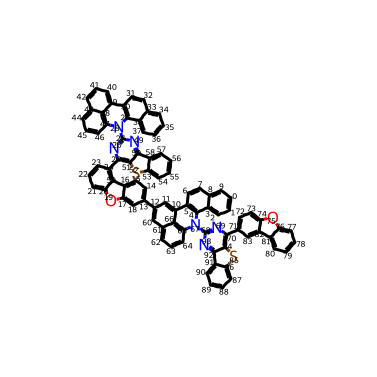 c1ccc2c3c(ccc2c1)-c1cc(-c2ccc4c(c2)oc2cccc(-c5nc(N6c7c(ccc8ccccc78)-c7cccc8cccc6c78)nc6c5sc5ccccc56)c24)cc2cccc(c12)N3c1nc(-c2ccc3oc4ccccc4c3c2)c2sc3ccccc3c2n1